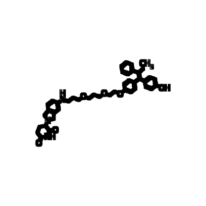 CCC(=C(c1ccc(O)cc1)c1ccc(OCCOCCCOCCCNc2ccc3c(c2)CN(C2CCC(=O)NC2=O)C3)cc1)c1ccccc1